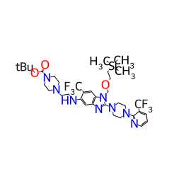 CC(C)(C)OC(=O)N1CCN(CCNc2cc3nc(N4CCN(c5ncccc5C(F)(F)F)CC4)n(COCC[Si](C)(C)C)c3cc2C(F)(F)F)CC1